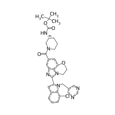 CC(C)(C)OC(=O)N[C@@H]1CCCN(C(=O)c2cc3c4c(c2)nc(-c2cc5cccc(Cl)c5n2Cc2cncnc2)n4CCO3)C1